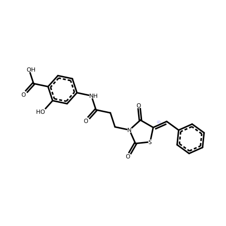 O=C(CCN1C(=O)S/C(=C\c2ccccc2)C1=O)Nc1ccc(C(=O)O)c(O)c1